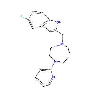 Fc1ccc2[nH]c(CN3CCCN(c4ccccn4)CC3)cc2c1